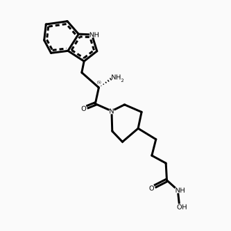 N[C@@H](Cc1c[nH]c2ccccc12)C(=O)N1CCC(CCCC(=O)NO)CC1